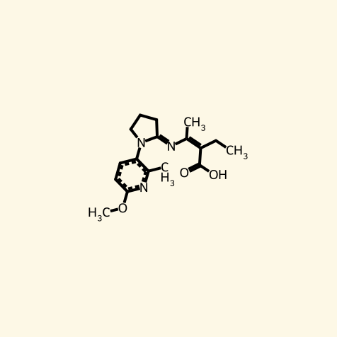 CCC(C(=O)O)=C(C)N=C1CCCN1c1ccc(OC)nc1C